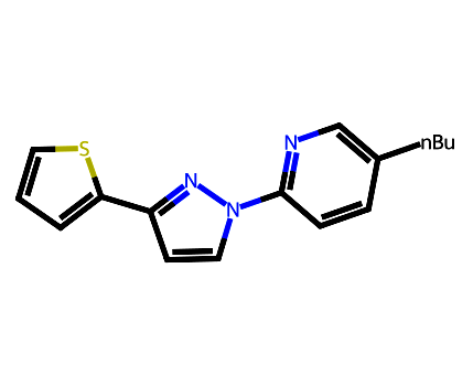 CCCCc1ccc(-n2ccc(-c3cccs3)n2)nc1